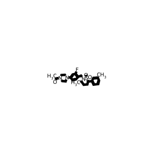 CC(=O)N1CCN(c2ccc(CN3[C@@H](C)CCC(c4cccc(C)c4)S3(=O)=O)c(F)c2)CC1